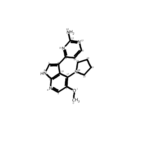 COc1cnc2[nH]cc(-c3ccnc(N)n3)c2c1N1CCCC1